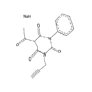 C#CCN1C(=O)C(C(C)=O)C(=O)N(c2ccccc2)C1=O.[NaH]